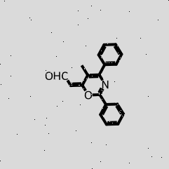 CC1=C(c2ccccc2)N=C(c2ccccc2)O/C1=C/C=O